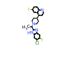 C[C@H](c1nc2cc(F)c(Cl)cc2[nH]1)N1CCC(c2ccnc3ccc(F)cc23)CC1